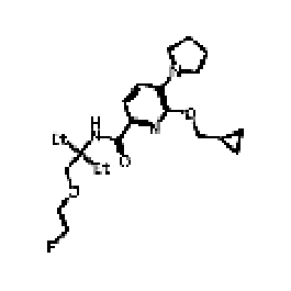 CCC(CC)(COCCF)NC(=O)c1ccc(N2CCCC2)c(OCC2CC2)n1